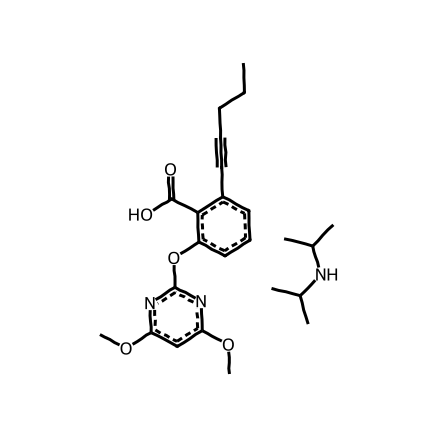 CC(C)NC(C)C.CCCC#Cc1cccc(Oc2nc(OC)cc(OC)n2)c1C(=O)O